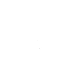 C/C=C\CCCC([O])=O